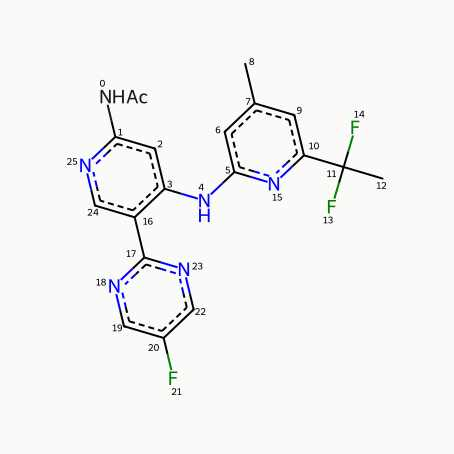 CC(=O)Nc1cc(Nc2cc(C)cc(C(C)(F)F)n2)c(-c2ncc(F)cn2)cn1